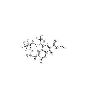 CCOC(=O)c1cn([C@H](CO[Si](C)(C)C(C)(C)C)C(C)(C)C)c2cc(OC(C)C)c(I)cc2c1=O